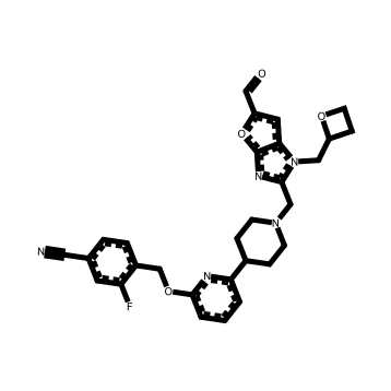 N#Cc1ccc(COc2cccc(C3CCN(Cc4nc5oc(C=O)cc5n4CC4CCO4)CC3)n2)c(F)c1